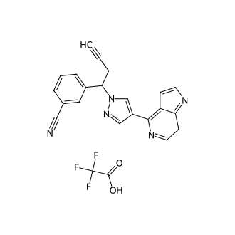 C#CCC(c1cccc(C#N)c1)n1cc(C2=C3C=CN=C3CC=N2)cn1.O=C(O)C(F)(F)F